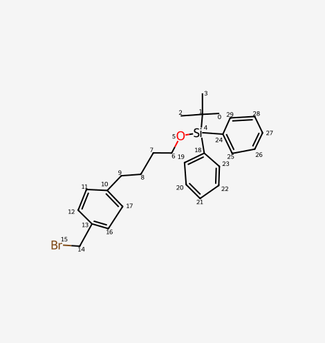 CC(C)(C)[Si](OCCCCc1ccc(CBr)cc1)(c1ccccc1)c1ccccc1